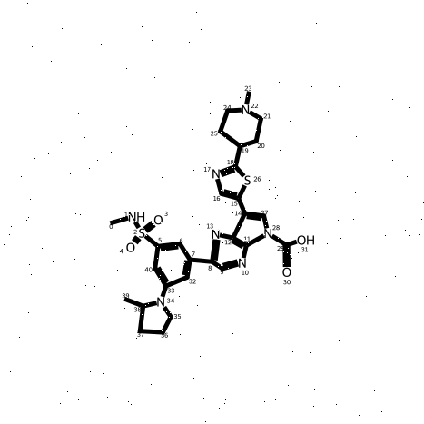 CNS(=O)(=O)c1cc(-c2cnc3c(n2)c(-c2cnc(C4CCN(C)CC4)s2)cn3C(=O)O)cc(N2CCCC2C)c1